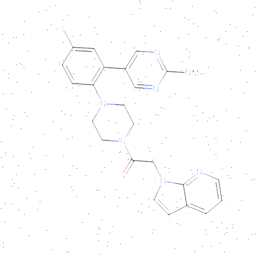 CNc1ncc(-c2cc(Cl)ccc2N2CCN(C(=O)Cn3ccc4cccnc43)CC2)cn1